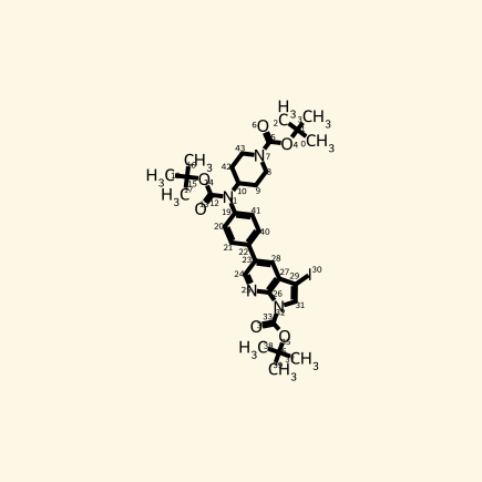 CC(C)(C)OC(=O)N1CCC(N(C(=O)OC(C)(C)C)c2ccc(-c3cnc4c(c3)c(I)cn4C(=O)OC(C)(C)C)cc2)CC1